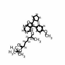 COc1ccc(-c2c(C3=CCCC3)oc3ncnc(OC(C)CCCCC(=O)OC(C)(C)C)c23)cc1